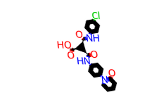 O=C(O)[C@@H]1[C@@H](C(=O)Nc2ccc(-n3ccccc3=O)cc2)[C@H]1C(=O)Nc1ccc(Cl)cc1